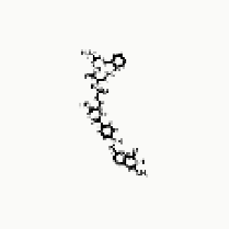 NC(=O)OCc1ccccc1SSCC(NC(=O)CCC(NC(=O)c1ccc(NCc2cnc3nc(N)[nH]c(=O)c3n2)cc1)C(=O)O)C(=O)O